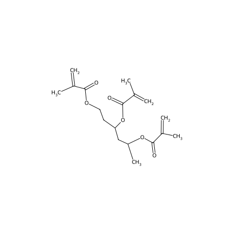 C=C(C)C(=O)OCCC(CC(C)OC(=O)C(=C)C)OC(=O)C(=C)C